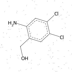 Nc1cc(Cl)c(Cl)cc1CO